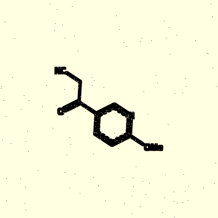 COc1ccc(C(=O)CC#N)cn1